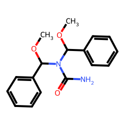 COC(c1ccccc1)N(C(N)=O)C(OC)c1ccccc1